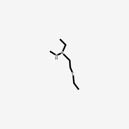 CCCCCN(CC)NC